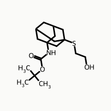 CC(C)(C)OC(=O)NC12CC3CC(C1)CC(SCCO)(C3)C2